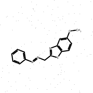 COc1ccc2sc(CN=Nc3ccccc3)nc2c1